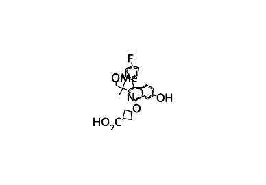 COCC(C)(C)c1nc(O[C@H]2C[C@H](C(=O)O)C2)c2cc(O)ccc2c1-c1ccc(F)cc1